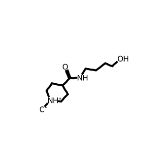 [CH2-][NH+]1CCC(C(=O)NCCCCO)CC1